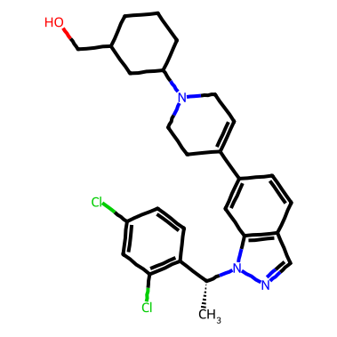 C[C@H](c1ccc(Cl)cc1Cl)n1ncc2ccc(C3=CCN(C4CCCC(CO)C4)CC3)cc21